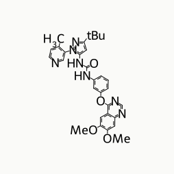 COc1cc2ncnc(Oc3cccc(NC(=O)Nc4cc(C(C)(C)C)nn4-c4cnccc4C)c3)c2cc1OC